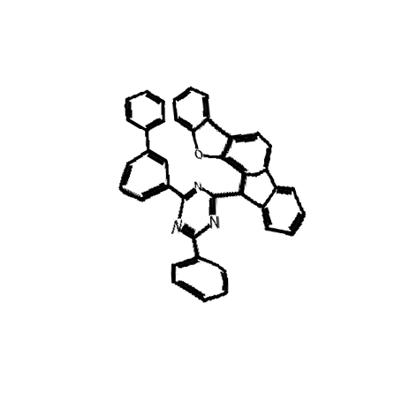 c1ccc(-c2cccc(-c3nc(-c4ccccc4)nc(C4c5ccccc5-c5ccc6c(oc7ccccc76)c54)n3)c2)cc1